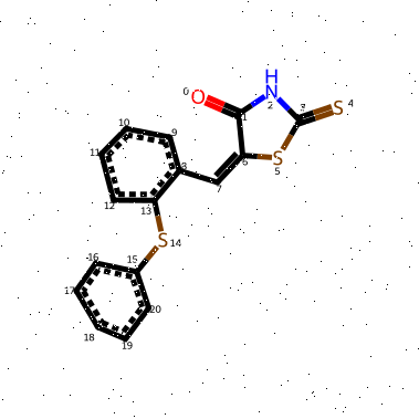 O=C1NC(=S)SC1=Cc1ccccc1Sc1ccccc1